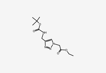 CCOC(=O)Cn1cc(CNC(=O)OC(C)(C)C)nn1